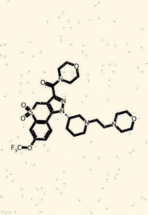 O=C(c1nn([C@H]2CCCN(CCN3CCOCC3)C2)c2c1CS(=O)(=O)c1cc(OC(F)(F)F)ccc1-2)N1CCOCC1